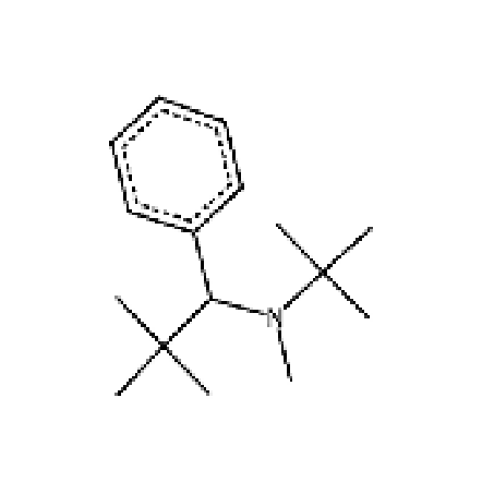 CN(C(c1ccccc1)C(C)(C)C)C(C)(C)C